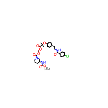 CC(C)(C)OC(=O)N[C@@H]1CCCN(C(=O)OCOC(=O)C(C)(C)Oc2ccc(CCNC(=O)c3ccc(Cl)cc3)cc2)C1